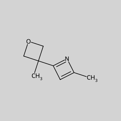 CC1=CC(C2(C)COC2)=N1